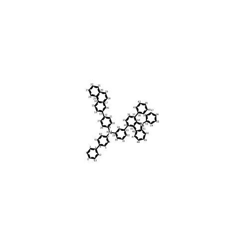 c1ccc(-c2ccc(N(c3ccc(-c4ccc5c(ccc6ccccc65)c4)cc3)c3cccc(-c4ccc(-c5ccccc5)c5c4c4ccccc4n5-c4ccccc4)c3)cc2)cc1